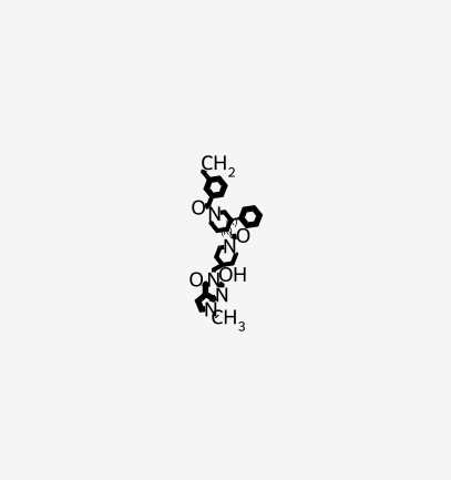 C=Cc1cccc(C(=O)N2CC[C@@H](C(=O)N3CCC(O)(Cn4cnc5c(ccn5C)c4=O)CC3)[C@H](c3ccccc3)C2)c1